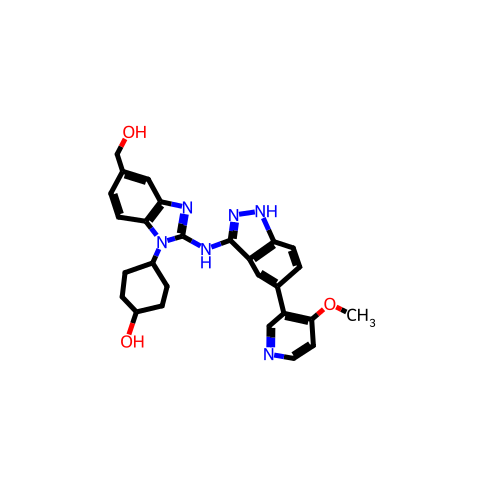 COc1ccncc1-c1ccc2[nH]nc(Nc3nc4cc(CO)ccc4n3C3CCC(O)CC3)c2c1